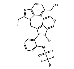 CCc1nc2ccc(CO)nc2n1Cc1c2ccocc-2c(Br)c1-c1ccccc1NS(=O)(=O)C(F)(F)F